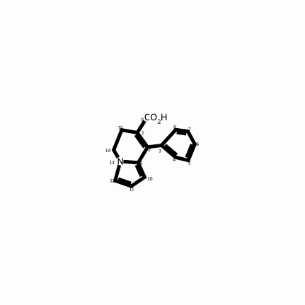 O=C(O)C1=C(c2ccccc2)c2cccn2CC1